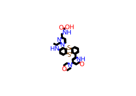 CC(Nc1ccc2c(c1)Sc1cccc(-c3cc(N4CCOCC4)cc(=O)[nH]3)c1S2)c1nccc(CNC(=O)O)n1